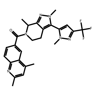 Cc1cc(C)c2cc(C(=O)N3CCc4c(nn(C)c4-c4cc(C(F)(F)F)nn4C)C3C)ccc2n1